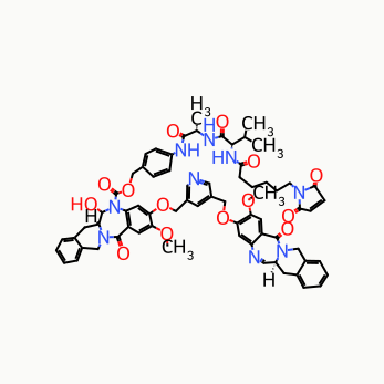 COc1cc2c(cc1OCc1cncc(COc3cc4c(cc3OC)C(=O)N3Cc5ccccc5C[C@H]3C(O)N4C(=O)OCc3ccc(NC(=O)[C@H](C)NC(=O)[C@@H](NC(=O)CCCCCN4C(=O)C=CC4=O)C(C)C)cc3)c1)N=C[C@@H]1Cc3ccccc3CN1C2=O